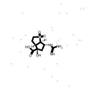 N=C(N)N[C@@H]1C[C@](O)(C(=O)O)[C@H]2CCS(=O)(=O)[C@@H]12